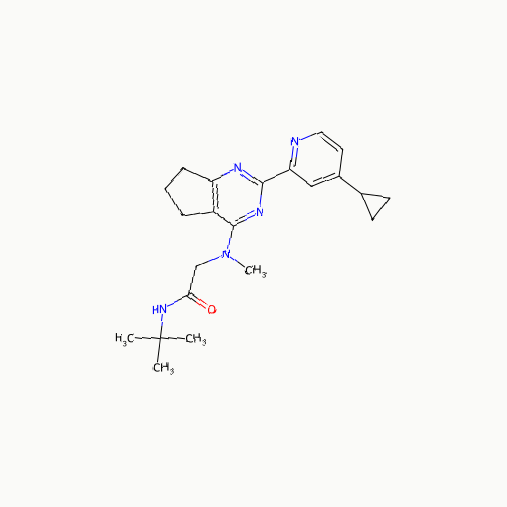 CN(CC(=O)NC(C)(C)C)c1nc(-c2cc(C3CC3)ccn2)nc2c1CCC2